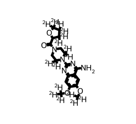 [2H]C([2H])([2H])Oc1cc2nc(N3C([2H])([2H])CN(C(=O)C4OC([2H])([2H])C([2H])([2H])C4([2H])[2H])CC3([2H])[2H])nc(N)c2cc1OC([2H])([2H])[2H]